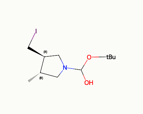 C[C@H]1CN(C(O)OC(C)(C)C)C[C@@H]1CI